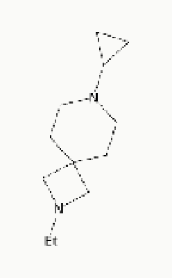 CCN1CC2(CCN(C3CC3)CC2)C1